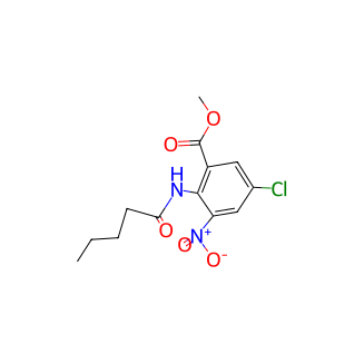 CCCCC(=O)Nc1c(C(=O)OC)cc(Cl)cc1[N+](=O)[O-]